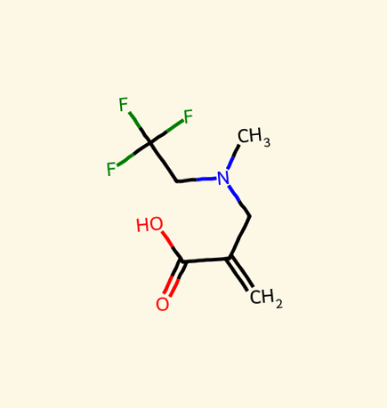 C=C(CN(C)CC(F)(F)F)C(=O)O